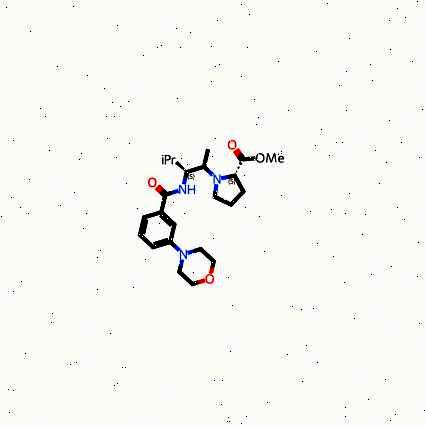 COC(=O)[C@@H]1CCCN1C(C)[C@@H](NC(=O)c1cccc(N2CCOCC2)c1)C(C)C